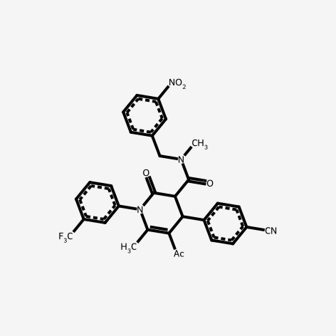 CC(=O)C1=C(C)N(c2cccc(C(F)(F)F)c2)C(=O)C(C(=O)N(C)Cc2cccc([N+](=O)[O-])c2)C1c1ccc(C#N)cc1